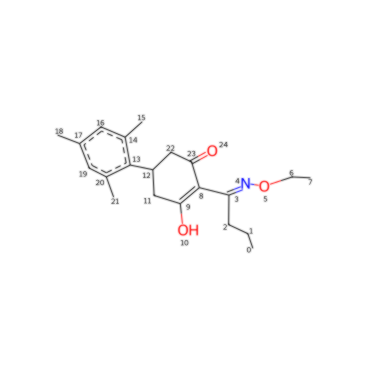 CCCC(=NOCC)C1=C(O)CC(c2c(C)cc(C)cc2C)CC1=O